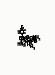 CC(C)(NC(=O)C1(NC(=O)c2ccc(F)cc2)CCNCC1)C(N)=O